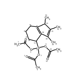 CC(=O)[O][Ti]([O]C(C)=O)([O]C(C)=O)[CH]1CCCC2=C1C(C)=C(C)C2C